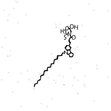 CCCCCCCCCCCCCCCCCCN1c2ccc(/C=C/C(=O)N(CC(=O)O)C(=S)S)cc2C2CCCC21